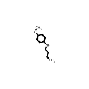 C=CCCNc1ccc(OC)cc1